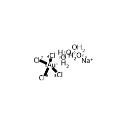 O.O.O.O.[Cl][Au-]([Cl])([Cl])[Cl].[Na+]